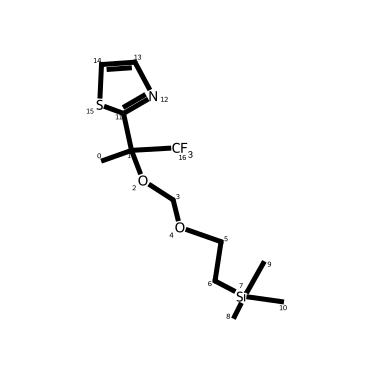 CC(OCOCC[Si](C)(C)C)(c1nccs1)C(F)(F)F